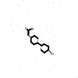 CC[C@H]1CC[C@H]([C@H]2CC[C@H](C=C(F)Br)CC2)CC1